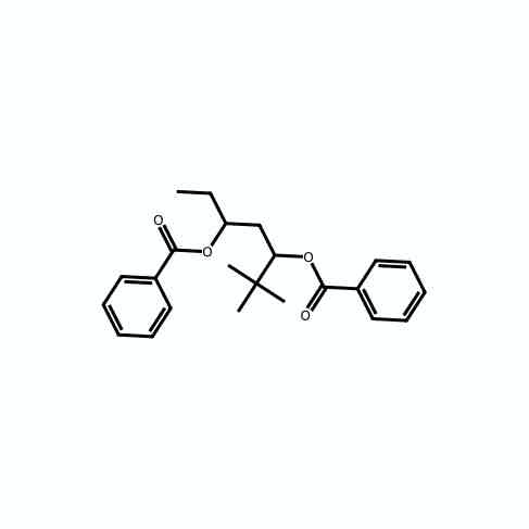 CCC(CC(OC(=O)c1ccccc1)C(C)(C)C)OC(=O)c1ccccc1